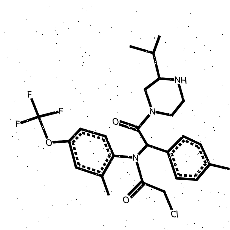 Cc1cc(OC(F)(F)F)ccc1N(C(=O)CCl)C(C(=O)N1CCNC(C(C)C)C1)c1ccc(F)cc1